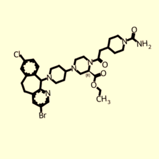 CCOC(=O)[C@H]1CN(C2CCN(C3c4ccc(Cl)cc4CCc4cc(Br)cnc43)CC2)CCN1C(=O)CC1CCN(C(N)=O)CC1